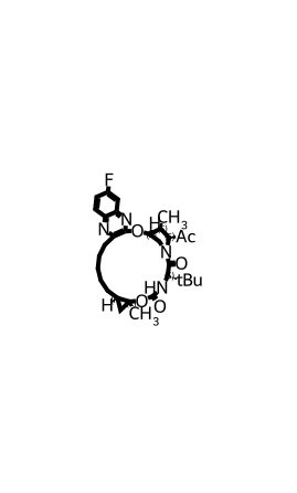 CC(=O)[C@@H]1[C@H](C)[C@@H]2CN1C(=O)[C@H](C(C)(C)C)NC(=O)O[C@]1(C)C[C@H]1CCCCCc1nc3ccc(F)cc3nc1O2